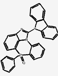 O=P1(c2ccccc2)c2ccccc2-n2c(-n3c4ccccc4c4ccccc43)nc3cccc1c32